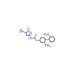 Cc1ccccc1-c1ccc(CC(=O)Nc2cc(C3CC3)[nH]n2)cc1C